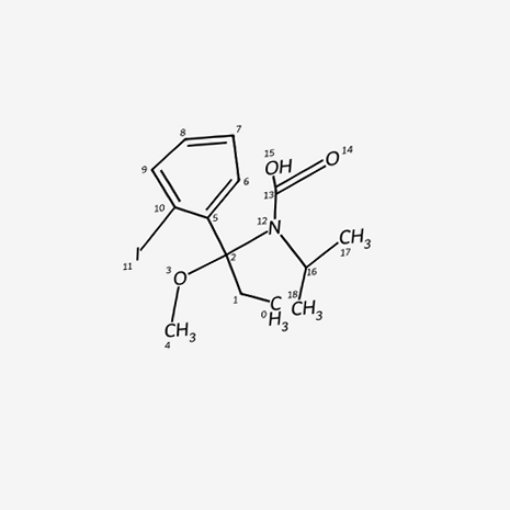 CCC(OC)(c1ccccc1I)N(C(=O)O)C(C)C